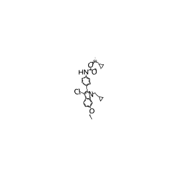 CCOc1ccc2c(Cl)c(-c3ccc(NC(=O)O[C@H](C)C4CC4)cc3)n(CC3CC3)c2c1